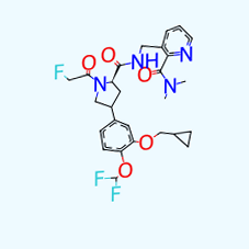 CN(C)C(=O)c1ncccc1CNC(=O)[C@H]1CC(c2ccc(OC(F)F)c(OCC3CC3)c2)CN1C(=O)CF